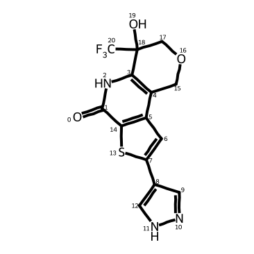 O=c1[nH]c2c(c3cc(-c4cn[nH]c4)sc13)COCC2(O)C(F)(F)F